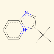 CC(C)(C)c1cnc2ccccn12